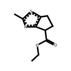 CCOC(=O)C1CCc2sc(C)nc21